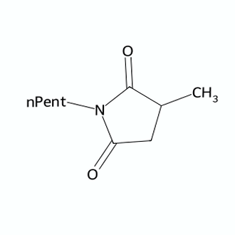 CCCCCN1C(=O)CC(C)C1=O